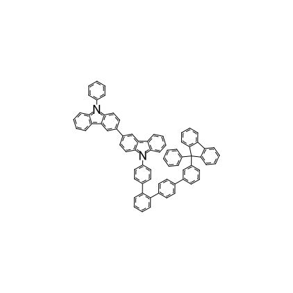 c1ccc(-n2c3ccccc3c3cc(-c4ccc5c(c4)c4ccccc4n5-c4ccc(-c5ccccc5-c5ccc(-c6cccc(C7(c8ccccc8)c8ccccc8-c8ccccc87)c6)cc5)cc4)ccc32)cc1